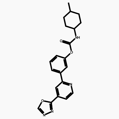 CC1CCC(NC(=O)Oc2cccc(-c3cc(-c4nnco4)ccn3)c2)CC1